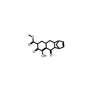 COC(=O)C1CC2CC3C4C=CC(C4)C3C(=O)C2=C(O)C1=O